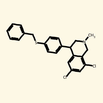 CN1Cc2c(Cl)cc(Cl)cc2C(c2ccc(SCc3ccccc3)cc2)C1